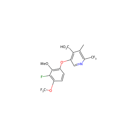 COc1c(Oc2cnc(C(F)(F)F)c(C)c2C(=O)O)ccc(OC(F)(F)F)c1F